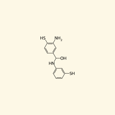 Nc1cc(C(O)Nc2cccc(S)c2)ccc1S